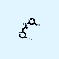 CN1CCOC(CC(=O)Nc2cc(O)ccn2)C1